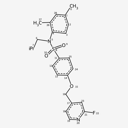 Cc1ccc(N(CC(C)C)S(=O)(=O)c2ccc(OCc3ccnc(F)c3)cc2)c(C)c1